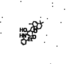 CCc1ccccc1NC1=CC(=O)C(=O)C(C[C@@]2(C)[C@@H]3CCCC(C)(C)C3=CC[C@@H]2C)=C1O